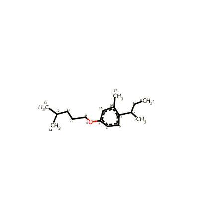 [CH2]CC(C)c1ccc(OCCCC(C)C)cc1C